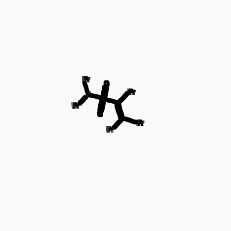 CC(C)C(=C(C(C)C)S(=O)(=O)N(C(C)C)C(C)C)C(C)C